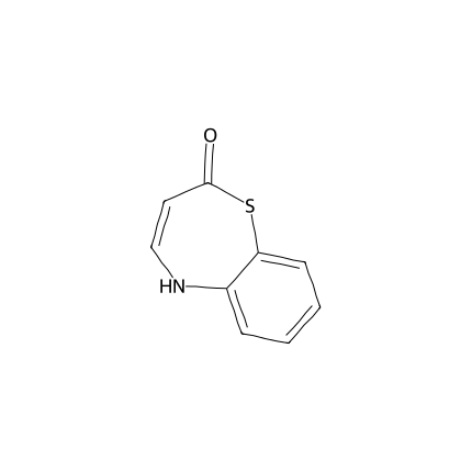 O=C1C=CNc2ccccc2S1